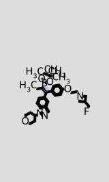 CC/C(B1OC(C)(C)C(C)(C)O1)=C(/c1ccc(OCCN2CC(CF)C2)cc1)c1ccc2c(cnn2C2CCOCC2)c1